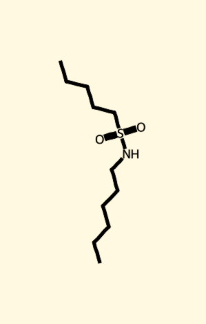 CCCCCCNS(=O)(=O)CCCCC